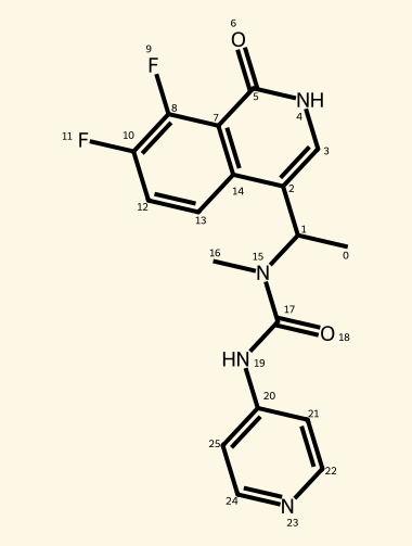 CC(c1c[nH]c(=O)c2c(F)c(F)ccc12)N(C)C(=O)Nc1ccncc1